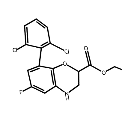 CCOC(=O)C1CNc2cc(F)cc(-c3c(Cl)cccc3Cl)c2O1